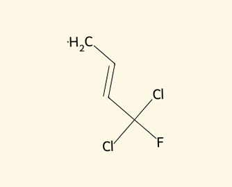 [CH2]C=CC(F)(Cl)Cl